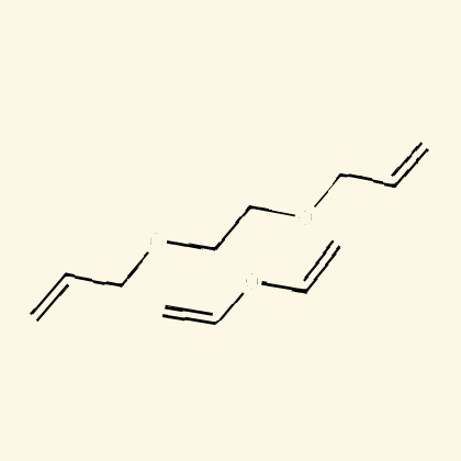 C=CCOCCOCC=C.C=COC=C